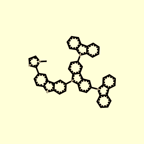 Cn1ccnc1-c1ccc2oc3ccc(-n4c5ccc(-n6c7ccccc7c7ccccc76)cc5c5cc(-n6c7ccccc7c7ccccc76)ccc54)cc3c2c1